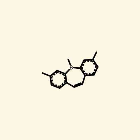 CB1c2cc(C)ccc2C=Cc2ccc(C)cc21